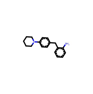 Nc1ccccc1Cc1ccc(N2CCCCC2)cc1